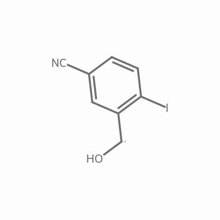 N#Cc1ccc(I)c([CH]O)c1